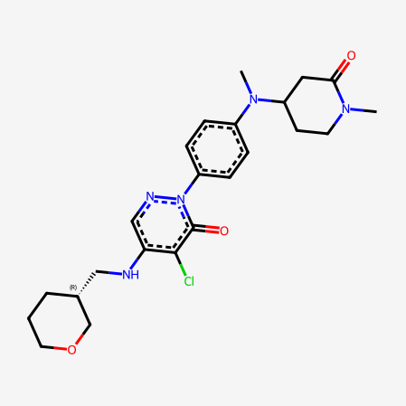 CN1CCC(N(C)c2ccc(-n3ncc(NC[C@H]4CCCOC4)c(Cl)c3=O)cc2)CC1=O